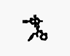 CC#CCC(C)[C@@H](C=C[C@@H]1[C@H]2CC(O)O[C@H]2C[C@H]1C)OC1CCCCO1